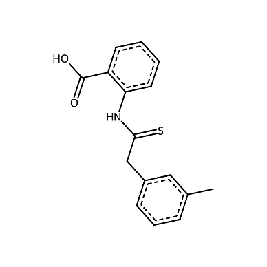 Cc1cccc(CC(=S)Nc2ccccc2C(=O)O)c1